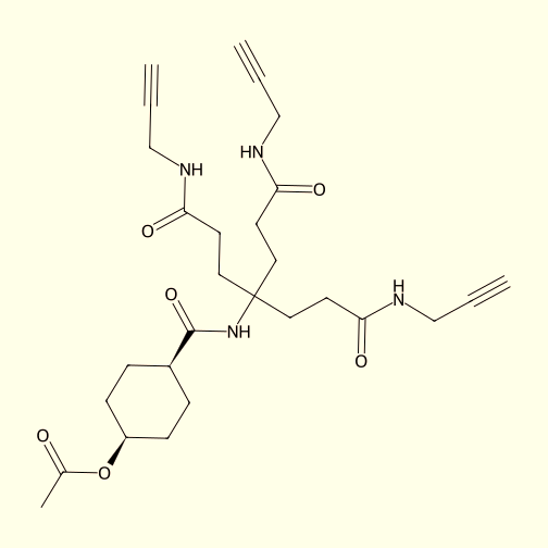 C#CCNC(=O)CCC(CCC(=O)NCC#C)(CCC(=O)NCC#C)NC(=O)[C@H]1CC[C@@H](OC(C)=O)CC1